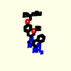 CCCCC(CC)COc1ccc(C[C@@H](COCC)n2cnc3c(N)nc4ccccc4c32)cc1